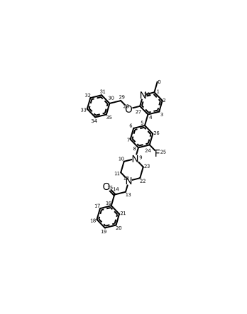 Cc1ccc(-c2ccc(N3CCN(CC(=O)c4ccccc4)CC3)c(F)c2)c(OCc2ccccc2)n1